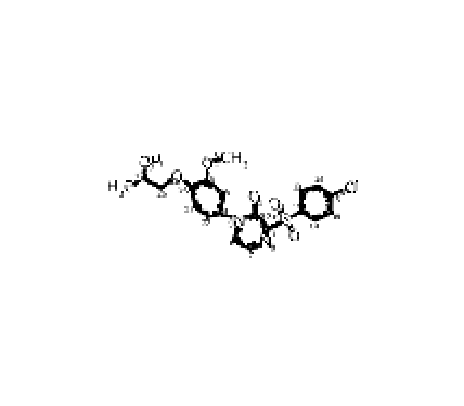 COc1cc(-n2ccnc(S(=O)(=O)c3ccc(Cl)cc3)c2=O)ccc1OC[C@@H](C)O